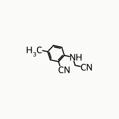 Cc1ccc(NCC#N)c(C#N)c1